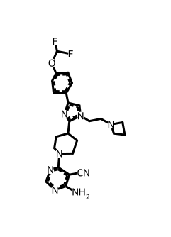 N#Cc1c(N)ncnc1N1CCC(c2nc(-c3ccc(OC(F)F)cc3)cn2CCN2CCC2)CC1